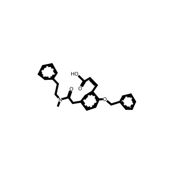 CN(CCc1ccccc1)C(=O)Cc1ccc(OCc2ccccc2)c(/C=C\C(=O)O)c1